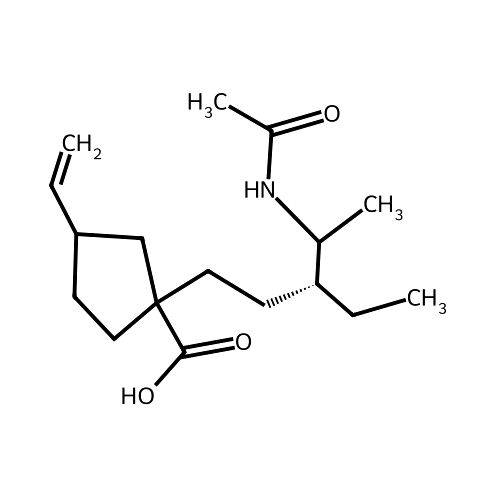 C=CC1CCC(CC[C@@H](CC)C(C)NC(C)=O)(C(=O)O)C1